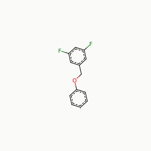 Fc1cc(F)cc(COc2cc[c]cc2)c1